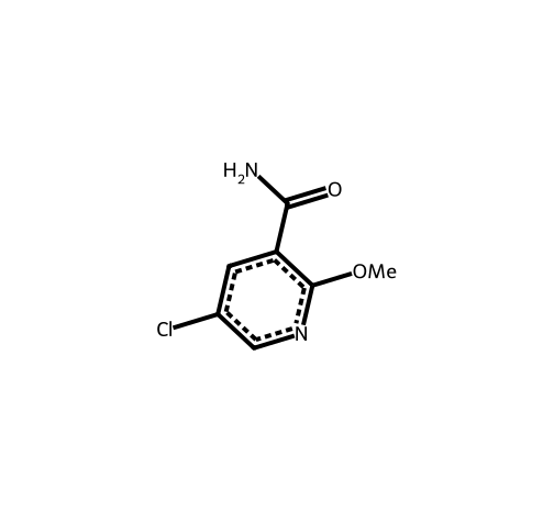 COc1ncc(Cl)cc1C(N)=O